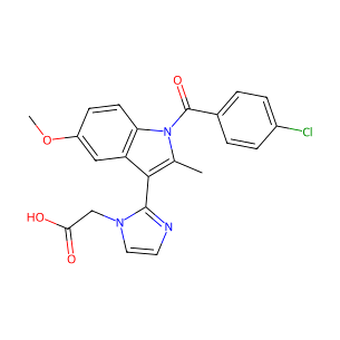 COc1ccc2c(c1)c(-c1nccn1CC(=O)O)c(C)n2C(=O)c1ccc(Cl)cc1